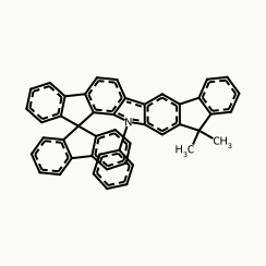 CC1(C)c2ccccc2-c2cc3c4ccc5c(c4n(-c4ccccc4)c3cc21)C1(c2ccccc2-c2ccccc21)c1ccccc1-5